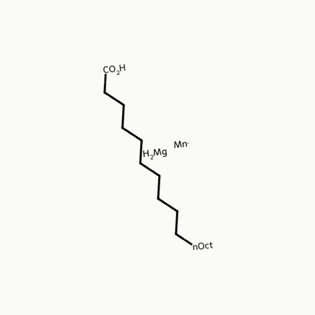 CCCCCCCCCCCCCCCCCC(=O)O.[MgH2].[Mn]